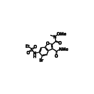 CCS(=O)(=O)Nc1cc2oc(C(=O)N(C)OC)c(C(=O)NC)c2cc1Br